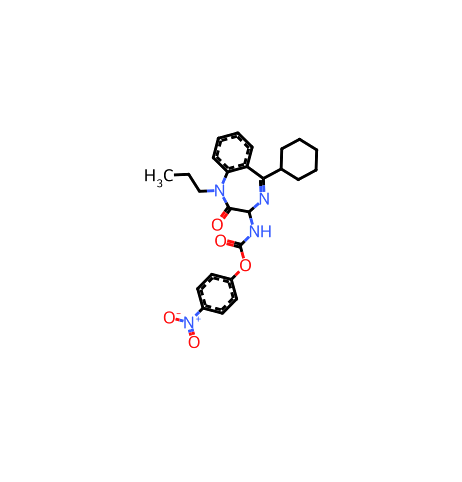 CCCN1C(=O)C(NC(=O)Oc2ccc([N+](=O)[O-])cc2)N=C(C2CCCCC2)c2ccccc21